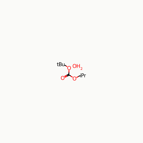 CC(C)OC(=O)OC(C)(C)C.O